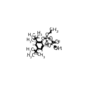 CCOP(=O)(Oc1ccc(C(C)(C)C)cc1C(C)(C)C)OP(=O)(O)O